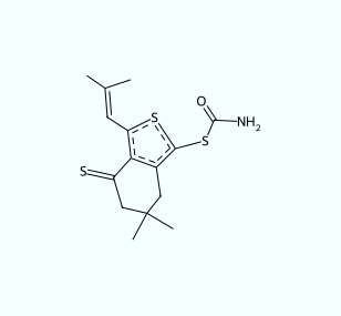 CC(C)=Cc1sc(SC(N)=O)c2c1C(=S)CC(C)(C)C2